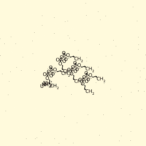 C=CCOP(=O)([O-])OP(=O)([O-])OCC=C.C=CCOP(=O)([O-])OP(=O)([O-])OCC=C.C=CCOP(=O)([O-])OP(=O)([O-])OCC=C.C=CCOP(=O)([O-])OP(=O)([O-])OCC=C.[NH4+].[NH4+].[U+6]